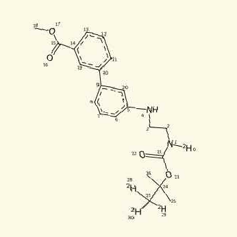 [2H]N(CCNc1cccc(-c2cccc(C(=O)OC)c2)c1)C(=O)OC(C)(C)C([2H])([2H])[2H]